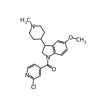 COc1ccc2c(c1)C(C1CCN(C)CC1)CN2C(=O)c1ccnc(Cl)c1